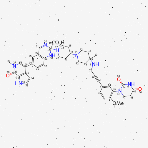 COc1ccc(C#CCNC2(C)CCN(C3CCN(C4(C(=O)O)N=Cc5cc(-c6cn(C)c(=O)c7[nH]ccc67)ccc5N4)CC3)CC2)cc1N1CCC(=O)NC1=O